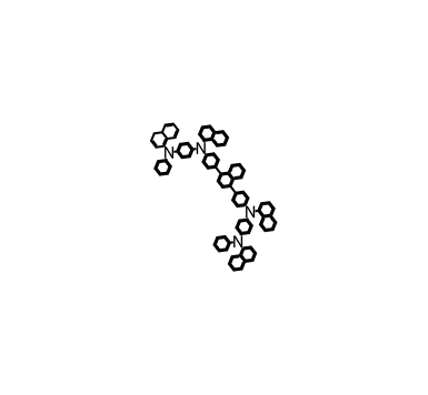 C1=CC2=C(N(c3ccccc3)c3ccc(N(c4ccc(-c5ccc(-c6ccc(N(c7ccc(N(c8ccccc8)c8cccc9ccccc89)cc7)c7cccc8ccccc78)cc6)c6ccccc56)cc4)c4cccc5ccccc45)cc3)C=CCC2C=C1